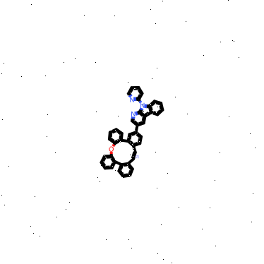 C1=C\c2ccc(-c3cnc4c(c3)c3ccccc3n4-c3ccccn3)cc2-c2ccccc2Oc2ccccc2-c2ccccc2/1